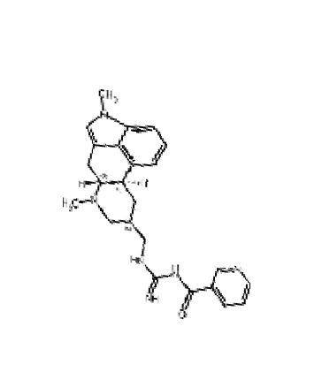 CN1C[C@H](CNC(=N)NC(=O)c2cccnc2)C[C@@H]2c3cccc4c3c(cn4C)C[C@H]21